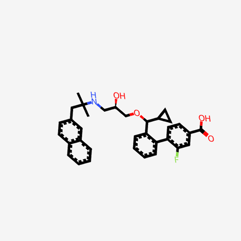 CC(C)(Cc1ccc2ccccc2c1)NC[C@@H](O)COC(c1ccccc1-c1ccc(C(=O)O)cc1F)C1CC1